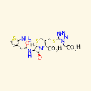 Nc1sccc1CC(=O)NC1C(=O)N2C(C(=O)O)=C(CSc3nnnn3CC(=O)O)CS[C@H]12